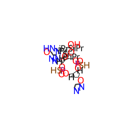 CC(C)[Si](O)(O[Si](O[C@@H]1C2CO[P@](=O)(S)O[C@H]3C[C@H](Oc4ccncn4)C[C@@H]3CO[P@@](=O)(S)O[C@H]1[C@H](n1nnc3c(=O)[nH]cnc31)C2)(C(C)C)C(C)C)C(C)C